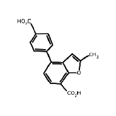 Cc1cc2c(-c3ccc(C(=O)O)cc3)ccc(C(=O)O)c2o1